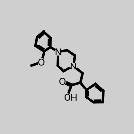 COc1ccccc1N1CCN(CC(C(=O)O)c2ccccc2)CC1